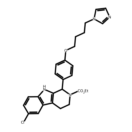 CCOC(=O)N1CCc2c([nH]c3ccc(Cl)cc23)C1c1ccc(OCCCCn2ccnc2)cc1